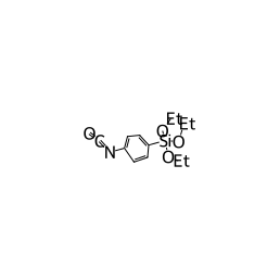 CCO[Si](OCC)(OCC)c1ccc(N=C=O)cc1